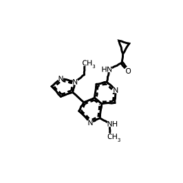 CCn1nccc1-c1cnc(NC)c2cnc(NC(=O)C3CC3)cc12